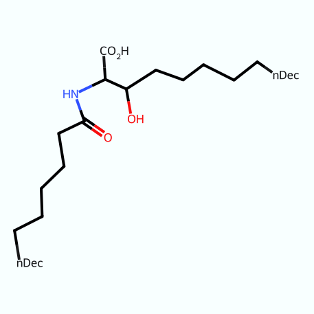 CCCCCCCCCCCCCCCC(=O)NC(C(=O)O)C(O)CCCCCCCCCCCCCCC